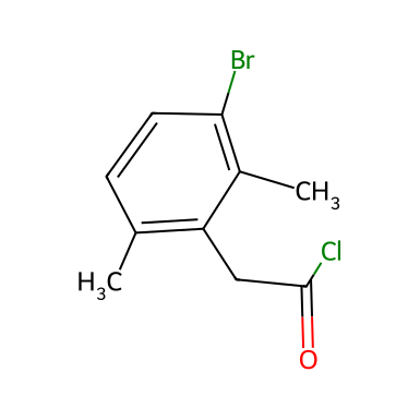 Cc1ccc(Br)c(C)c1CC(=O)Cl